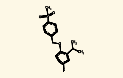 CC(C)c1cc(F)ccc1OCc1ccc(S(C)(=O)=O)cc1